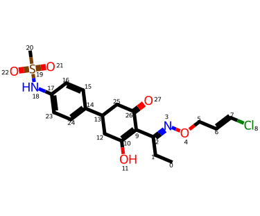 CCC(=NOCC=CCl)C1=C(O)CC(c2ccc(NS(C)(=O)=O)cc2)CC1=O